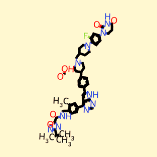 Cc1cc(-c2ncnc3[nH]c(-c4ccc(C5CCN(CC6CCN(c7ccc(N8CCC(=O)NC8=O)cc7F)CC6)CC5)cc4)cc23)ccc1CNC(=O)c1nc(C(C)(C)C)no1.O=CO